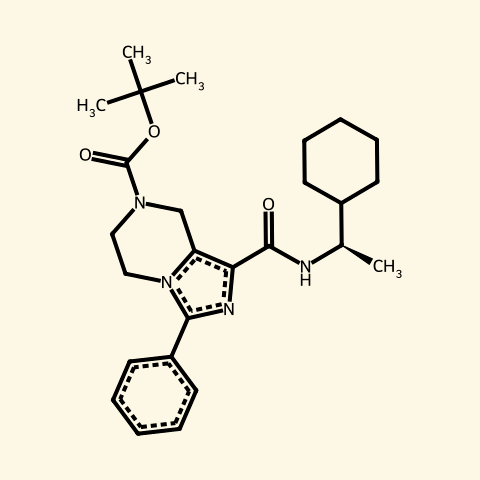 C[C@@H](NC(=O)c1nc(-c2ccccc2)n2c1CN(C(=O)OC(C)(C)C)CC2)C1CCCCC1